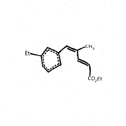 CCOC(=O)C=CC(C)=Cc1cccc(CC)c1